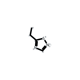 CCC1=NC=[N+]S1